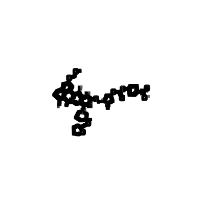 CCc1c(F)ccc2cc(OCOC)cc(-c3ncc4c(N5CCC[C@@](C)(OC6CCCCO6)C5)nc(OC[C@@H]5C[C@@H](OC(=O)Oc6ccc([N+](=O)[O-])cc6)CN5C)nc4c3F)c12